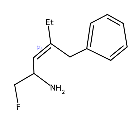 CC/C(=C/C(N)CF)Cc1ccccc1